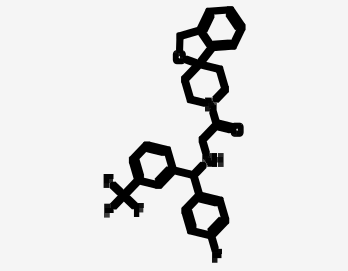 O=C(CNC(c1ccc(F)cc1)c1cccc(C(F)(F)F)c1)N1CCC2(CC1)OCc1ccccc12